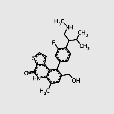 CNCC(c1ccc(-c2c(CO)cc(C)c3[nH]c(=O)c4sccc4c23)cc1F)C(C)C